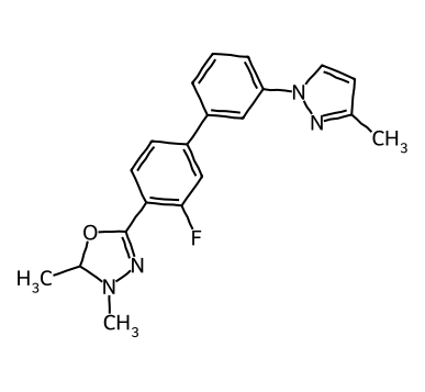 Cc1ccn(-c2cccc(-c3ccc(C4=NN(C)C(C)O4)c(F)c3)c2)n1